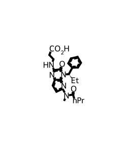 CCCC(=O)N(C)c1ccc2nc(NCCC(=O)O)c(=O)n([C@@H](CC)c3ccccc3)c2n1